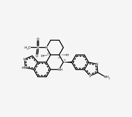 CS(=O)(=O)N1CCC[C@H]2[C@@H](c3ccc4nc(N)sc4c3)Nc3ccc4[nH]ncc4c3[C@H]21